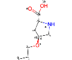 CCCO[C@@H]1CNC(C(=O)O)C1